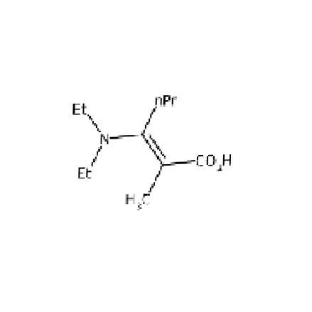 CCC/C(=C(/C)C(=O)O)N(CC)CC